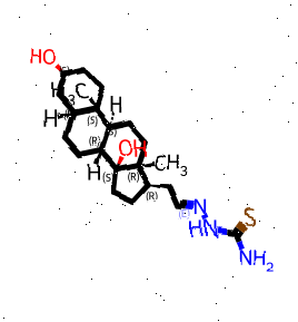 C[C@]12CC[C@H](O)C[C@H]1CC[C@@H]1[C@@H]2CC[C@]2(C)[C@@H](C/C=N/NC(N)=S)CC[C@]12O